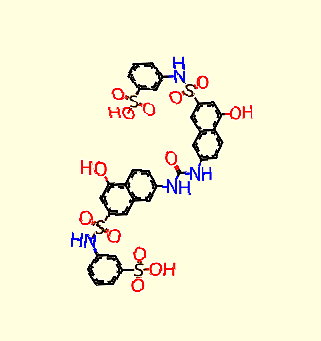 O=C(Nc1ccc2c(O)cc(S(=O)(=O)Nc3cccc(S(=O)(=O)O)c3)cc2c1)Nc1ccc2c(O)cc(S(=O)(=O)Nc3cccc(S(=O)(=O)O)c3)cc2c1